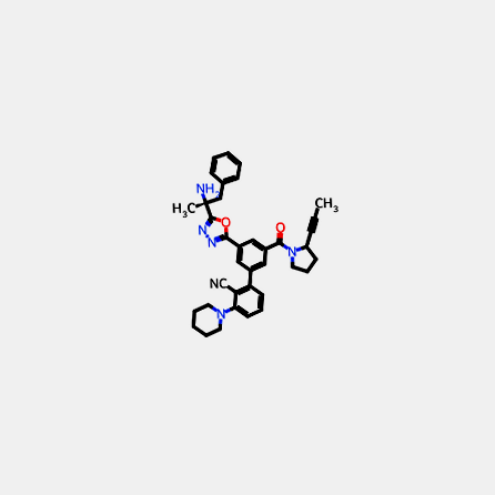 CC#CC1CCCN1C(=O)c1cc(-c2nnc([C@](C)(N)Cc3ccccc3)o2)cc(-c2cccc(N3CCCCC3)c2C#N)c1